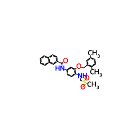 Cc1ccc(C)c(COc2cc(NC(=O)c3ccc4ccccc4c3)ccc2NCS(C)(=O)=O)c1